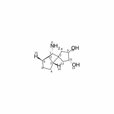 N[C@]12C3[C@@H](CC[C@@H]31)C21CC(O)[C@H](O)C1